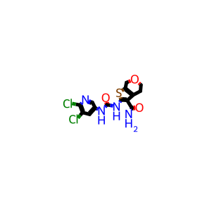 NC(=O)c1c(NC(=O)Nc2cnc(Cl)c(Cl)c2)sc2c1CCOC2